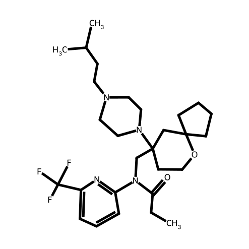 CCC(=O)N(CC1(N2CCN(CCC(C)C)CC2)CCOC2(CCCC2)C1)c1cccc(C(F)(F)F)n1